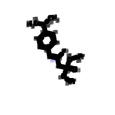 CC(C)OP(=O)(C/C(F)=C/c1ccc(N(C)C)cc1)OC(C)C